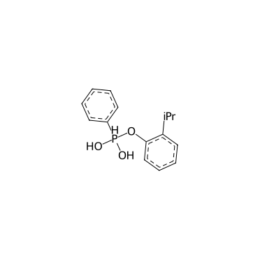 CC(C)c1ccccc1O[PH](O)(O)c1ccccc1